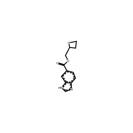 O=C(OCC1CCO1)c1ccc2nc[nH]c2c1